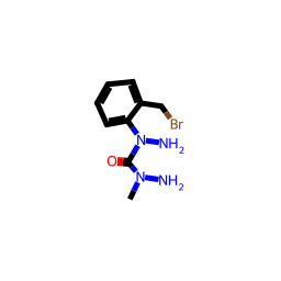 CN(N)C(=O)N(N)c1ccccc1CBr